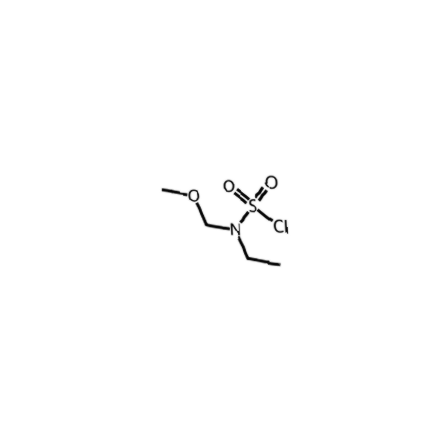 CCN(COC)S(=O)(=O)Cl